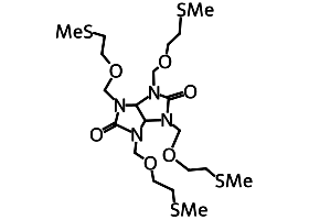 CSCCOCN1C(=O)N(COCCSC)C2C1N(COCCSC)C(=O)N2COCCSC